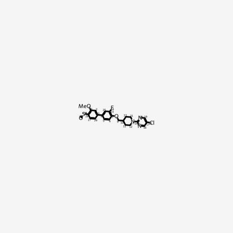 COc1cc(-c2ccc(OCC3CCN(c4ncc(Cl)cn4)CC3)c(F)c2)ccc1[S+]=O